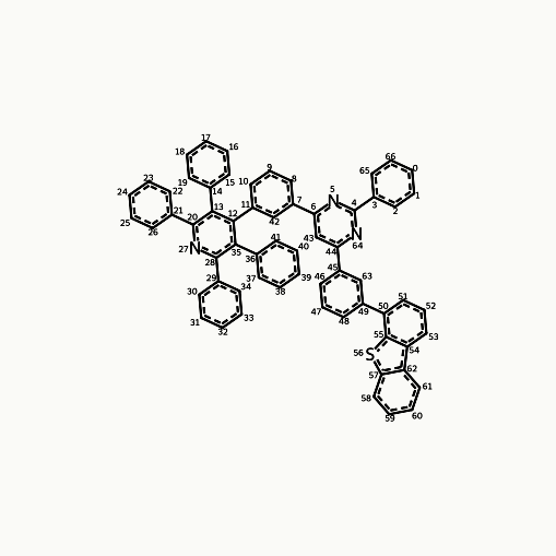 c1ccc(-c2nc(-c3cccc(-c4c(-c5ccccc5)c(-c5ccccc5)nc(-c5ccccc5)c4-c4ccccc4)c3)cc(-c3cccc(-c4cccc5c4sc4ccccc45)c3)n2)cc1